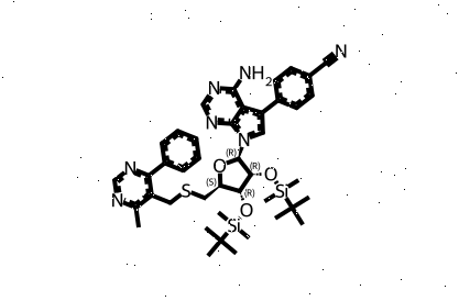 Cc1ncnc(-c2ccccc2)c1CSC[C@H]1O[C@@H](n2cc(-c3ccc(C#N)cc3)c3c(N)ncnc32)[C@H](O[Si](C)(C)C(C)(C)C)[C@@H]1O[Si](C)(C)C(C)(C)C